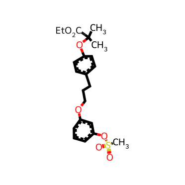 CCOC(=O)C(C)(C)Oc1ccc(CCCOc2cccc(OS(C)(=O)=O)c2)cc1